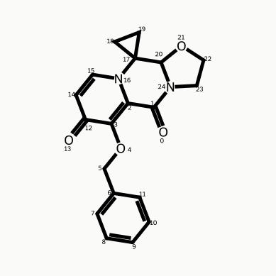 O=C1c2c(OCc3ccccc3)c(=O)ccn2C2(CC2)C2OCCN12